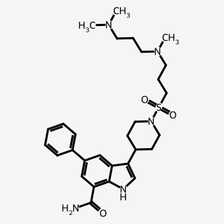 CN(C)CCCN(C)CCCS(=O)(=O)N1CCC(c2c[nH]c3c(C(N)=O)cc(-c4ccccc4)cc23)CC1